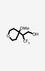 COC1(C(CO)C(F)(F)F)CCOCC1